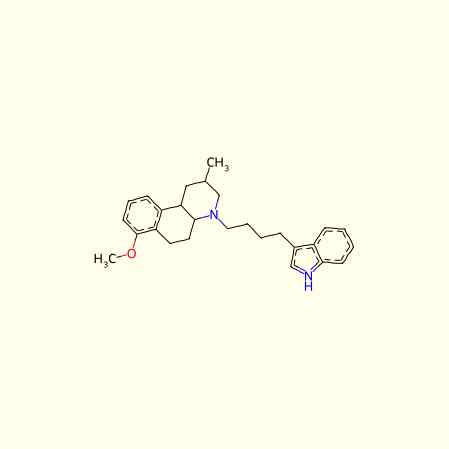 COc1cccc2c1CCC1C2CC(C)CN1CCCCc1c[nH]c2ccccc12